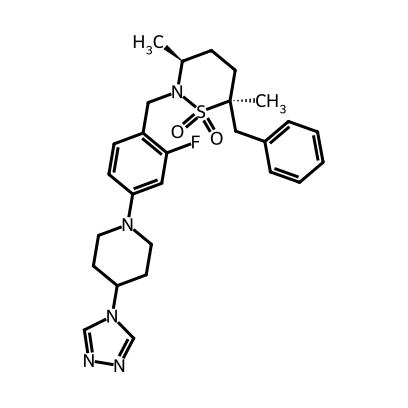 C[C@H]1CC[C@@](C)(Cc2ccccc2)S(=O)(=O)N1Cc1ccc(N2CCC(n3cnnc3)CC2)cc1F